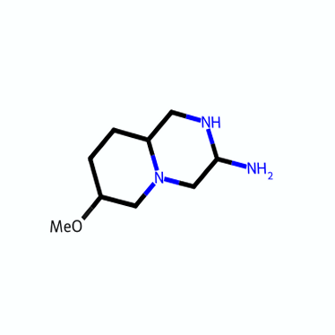 COC1CCC2CNC(N)CN2C1